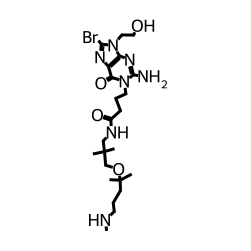 CNCCCC(C)(C)OCC(C)(C)CNC(=O)CCCn1c(N)nc2c(nc(Br)n2CCO)c1=O